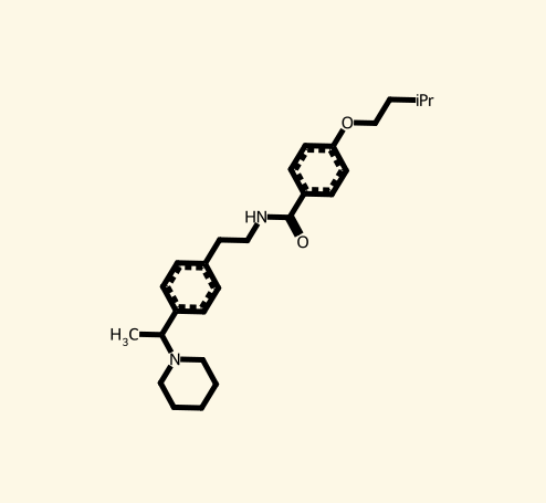 CC(C)CCOc1ccc(C(=O)NCCc2ccc(C(C)N3CCCCC3)cc2)cc1